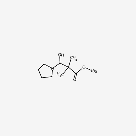 CC(C)(C)OC(=O)C(C)(C)C(O)N1CCCC1